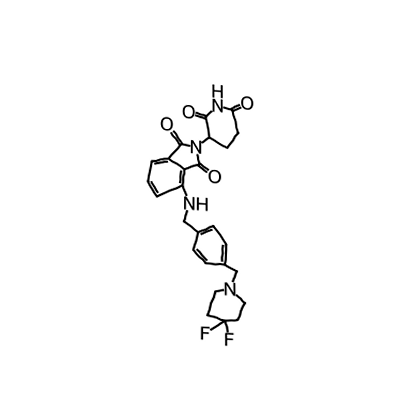 O=C1CCC(N2C(=O)c3cccc(NCc4ccc(CN5CCC(F)(F)CC5)cc4)c3C2=O)C(=O)N1